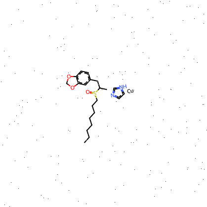 CCCCCCCCS(=O)C(C)Cc1ccc2c(c1)OCO2.[Cu].c1c[nH]cn1